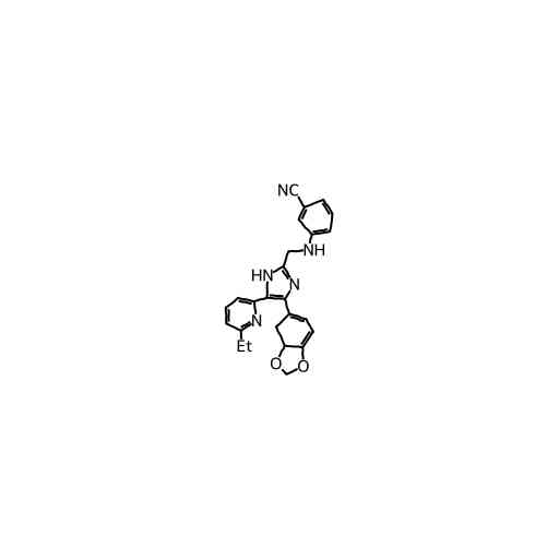 CCc1cccc(-c2[nH]c(CNc3cccc(C#N)c3)nc2C2=CC=C3OCOC3C2)n1